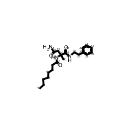 CCCCCCCC(=O)NC(C)(CC(N)=O)C(=O)NCCc1ccccc1